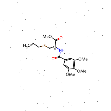 C=CCSC[C@H](NC(=O)c1cc(OC)c(OC)c(OC)c1)C(=O)OC